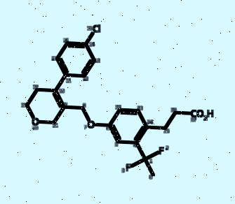 CC(F)(F)c1cc(OCC2=C(c3ccc(Cl)cc3)CCOC2)ccc1CCC(=O)O